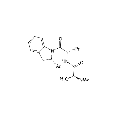 CN[C@@H](C)C(=O)N[C@H](C(=O)N1c2ccccc2C[C@H]1C(C)=O)C(C)C